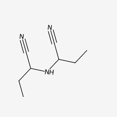 CCC(C#N)NC(C#N)CC